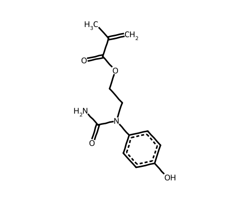 C=C(C)C(=O)OCCN(C(N)=O)c1ccc(O)cc1